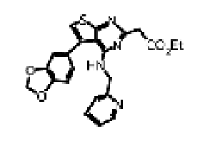 CCOC(=O)Cc1nc(NCc2ccccn2)c2c(-c3ccc4c(c3)OCO4)csc2n1